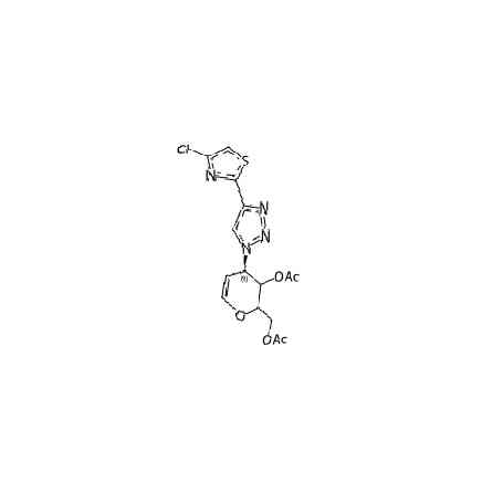 CC(=O)OCC1OC=C[C@@H](n2cc(-c3nc(Cl)cs3)nn2)C1OC(C)=O